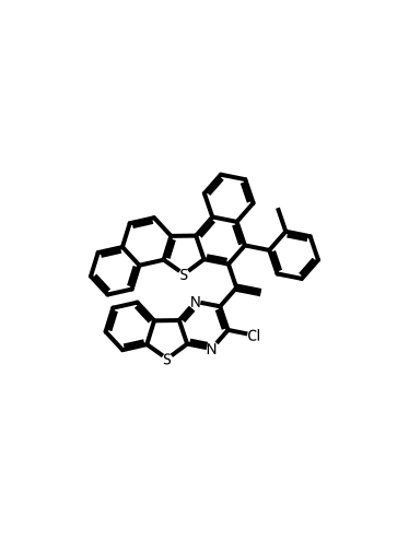 C=C(c1nc2c(nc1Cl)sc1ccccc12)c1c(-c2ccccc2C)c2ccccc2c2c1sc1c3ccccc3ccc12